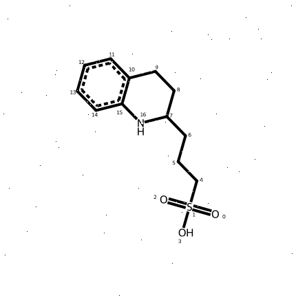 O=S(=O)(O)CCCC1CCc2ccccc2N1